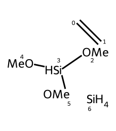 C=C.CO[SiH](OC)OC.[SiH4]